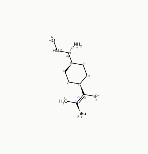 CC[C@H](C)/C(C)=C(\C(C)C)[C@H]1CC[C@@H]([C@@H](N)NO)CC1